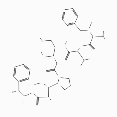 CC[C@H](C)[C@@H]([C@@H](CC(=O)N1CCC[C@H]1[C@H](OC)[C@@H](C)C(=O)N[C@H](C)[C@@H](C)c1ccccc1)OC)N(C)C(=O)[C@@H](NC(=O)[C@H](C(C)C)N(C)Cc1ccncc1)C(C)C